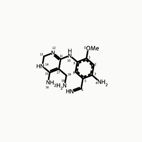 COc1cc(N)c(C=N)cc1NC1=NCNC(N)=C1CN